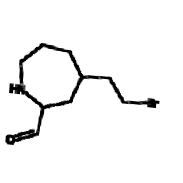 O=CC1CC(CCBr)CCCN1